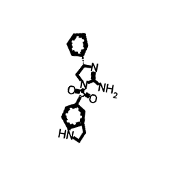 NC1=N[C@@H](c2ccccc2)CN1S(=O)(=O)c1ccc2c(c1)CCN2